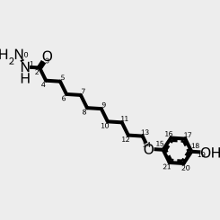 NNC(=O)CCCCCCCCCCOc1ccc(O)cc1